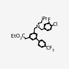 CCOC(=O)Cc1cc(CN(CCC(C)C)Cc2ccc(Cl)c(F)c2)cc(-c2ccc(C(F)(F)F)cc2)c1